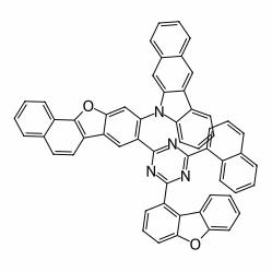 c1ccc2cc3c(cc2c1)c1ccccc1n3-c1cc2oc3c4ccccc4ccc3c2cc1-c1nc(-c2cccc3ccccc23)nc(-c2cccc3oc4ccccc4c23)n1